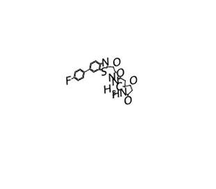 CC1(Cc2nnc(C(=O)c3nc4ccc(-c5ccc(F)cc5)cc4s3)o2)NC(=O)CC1=O